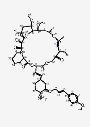 CCC1/C=C(\C)CC(C)CC(OC)C2OC(O)(C(=O)C(=O)N3CCCCC3C(=O)OC(C(C)=CC3CCC(N)C(OCC=Cc4ccc(OC)cc4)C3)C(C)CCC1=O)C(C)CC2OC